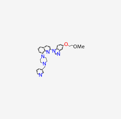 COCCOc1ccc2c(c1)ncn2-c1ccc2cccc(N3CCN(Cc4cccnc4)CC3)c2n1